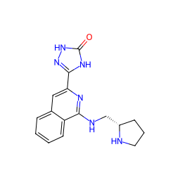 O=c1[nH]nc(-c2cc3ccccc3c(NC[C@@H]3CCCN3)n2)[nH]1